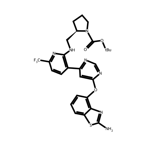 CC(C)(C)OC(=O)N1CCC[C@@H]1CNc1nc(C(F)(F)F)ccc1-c1cc(Oc2cccc3sc(N)nc23)ncn1